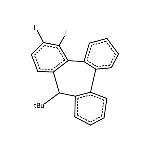 CC(C)(C)C1c2ccccc2-c2ccccc2-c2c1ccc(F)c2F